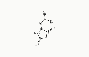 CCC(C=C1NC(=O)CC1=O)CC